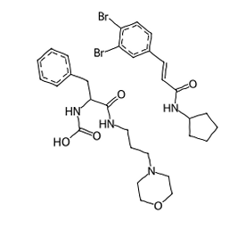 O=C(C=Cc1ccc(Br)c(Br)c1)NC1CCCC1.O=C(O)NC(Cc1ccccc1)C(=O)NCCCN1CCOCC1